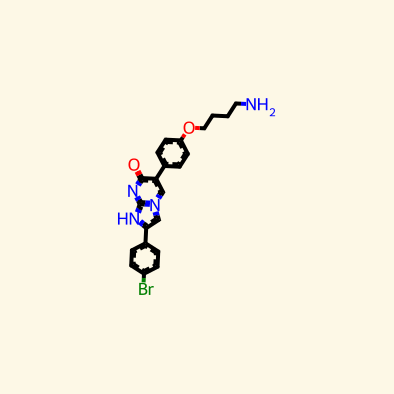 NCCCCOc1ccc(-c2cn3cc(-c4ccc(Br)cc4)[nH]c3nc2=O)cc1